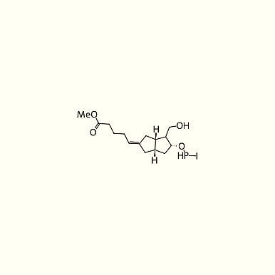 COC(=O)CCCC=C1C[C@H]2C[C@@H](OPI)C(CO)[C@H]2C1